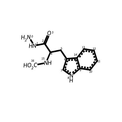 NNC(=O)C(Cc1c[nH]c2ccccc12)NC(=O)O